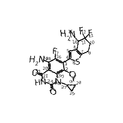 COc1c(-c2cc3c(s2)CCC(F)(F)C3N)c(F)c(N)c2c(=O)[nH]c(=O)n(C3CC3)c12